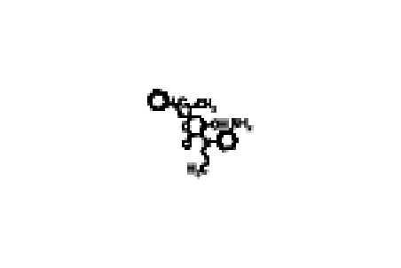 CCCN(C1=C(O)CC(CCc2ccccc2)(C(C)C)OC1=O)c1cccc(N)c1